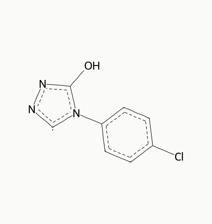 Oc1nn[c]n1-c1ccc(Cl)cc1